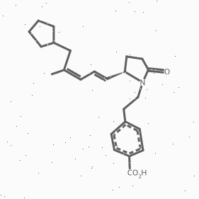 CC(=CC=C[C@H]1CCC(=O)N1CCc1ccc(C(=O)O)cc1)CC1CCCC1